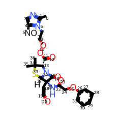 Cc1ncc([N+](=O)[O-])n1CCOOC(=O)[C@@H]1N2C(=O)[C@@](C=C=O)(NC(=O)COc3ccccc3)[C@H]2SC1(C)C